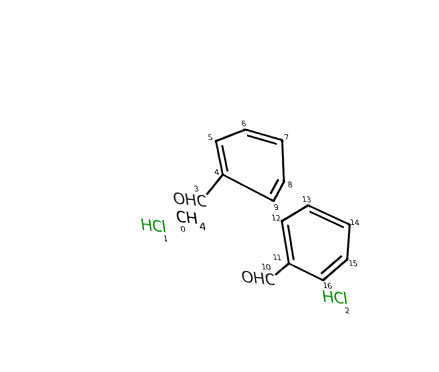 C.Cl.Cl.O=Cc1ccccc1.O=Cc1ccccc1